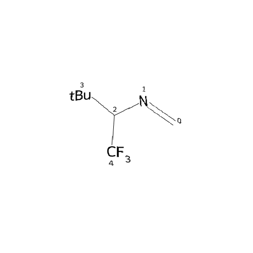 C=NC(C(C)(C)C)C(F)(F)F